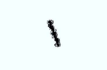 C=C(C)C(=O)OCOc1ccc(C=CC(=O)Oc2ccc(OC(=O)C=Cc3ccc(OCOC(=O)C(=C)C)cc3)c(C)c2)cc1